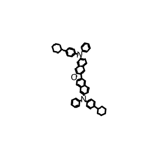 c1ccc(N(c2ccc(C3CCCCC3)cc2)c2ccc3cc4c(cc3c2)oc2cc3cc(N(c5ccccc5)c5ccc(C6CCCCC6)cc5)ccc3cc24)cc1